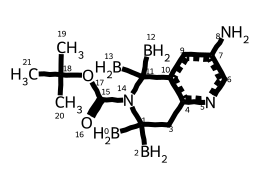 BC1(B)Cc2ncc(N)cc2C(B)(B)N1C(=O)OC(C)(C)C